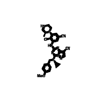 COc1ccc(CN(c2nc(Nc3cc(C#N)cc(N4CCNC[C@@H]4C)c3Cl)nc3c(C#N)cnn23)C2CC2)cc1